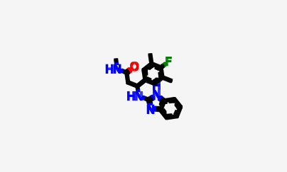 CNC(=O)CC(Nc1nc2ccccc2[nH]1)c1cc(C)c(F)c(C)c1